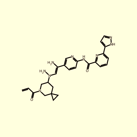 C=CC(=O)N1CC(N(N)/C=C(\N)c2ccc(NC(=O)c3cccc(-c4ccn[nH]4)n3)nc2)CC2(CC2)C1